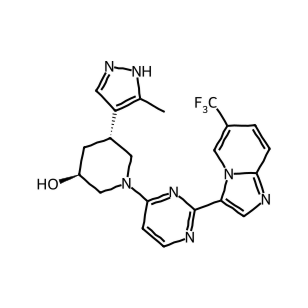 Cc1[nH]ncc1[C@H]1C[C@H](O)CN(c2ccnc(-c3cnc4ccc(C(F)(F)F)cn34)n2)C1